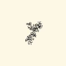 CC(C)C(=O)Nc1nc2c(ncn2[C@@H]2O[C@H](COP(=O)(S)O[C@@H]3C(O[Si](C)(C)C(C)(C)C)[C@@H](CO[PH](=O)S)O[C@H]3n3cnc4c(=O)[nH]c(NC(=O)C(C)C)nc43)C(O[Si](C)(C)C(C)(C)C)[C@H]2O)c(=O)[nH]1